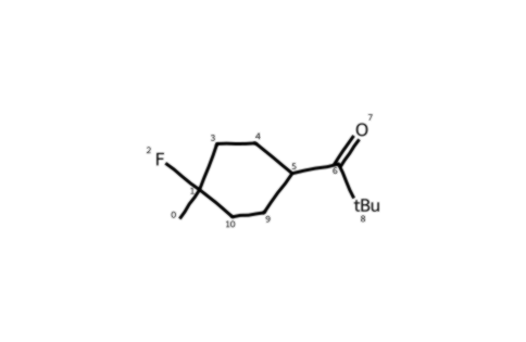 CC1(F)CCC(C(=O)C(C)(C)C)CC1